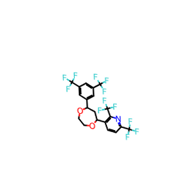 FC(F)(F)c1cc(C2CC(c3ccc(C(F)(F)F)nc3C(F)(F)F)OCCO2)cc(C(F)(F)F)c1